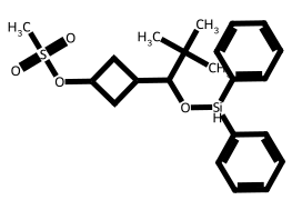 CC(C)(C)C(O[SiH](c1ccccc1)c1ccccc1)C1CC(OS(C)(=O)=O)C1